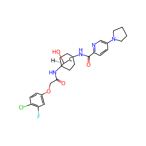 O=C(COc1ccc(Cl)c(F)c1)NC12CCC(NC(=O)c3ccc(N4CCCC4)cn3)(CC1)C[C@@H]2O